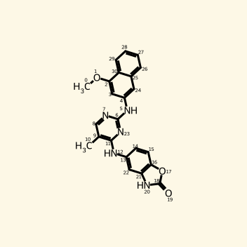 COc1cc(Nc2ncc(C)c(Nc3ccc4oc(=O)[nH]c4c3)n2)cc2ccccc12